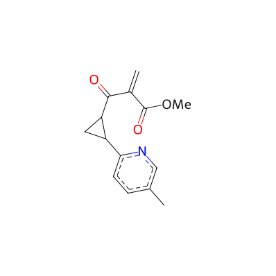 C=C(C(=O)OC)C(=O)C1CC1c1ccc(C)cn1